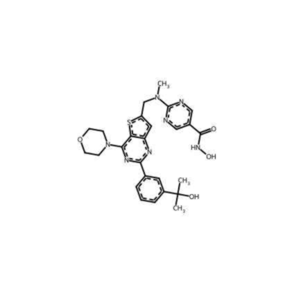 CN(Cc1cc2nc(-c3cccc(C(C)(C)O)c3)nc(N3CCOCC3)c2s1)c1ncc(C(=O)NO)cn1